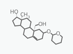 C[C@]12CCC3C(CCC4=CCC(OC5CCCCO5)C[C@@]43CO)C1CC[C@@H]2O